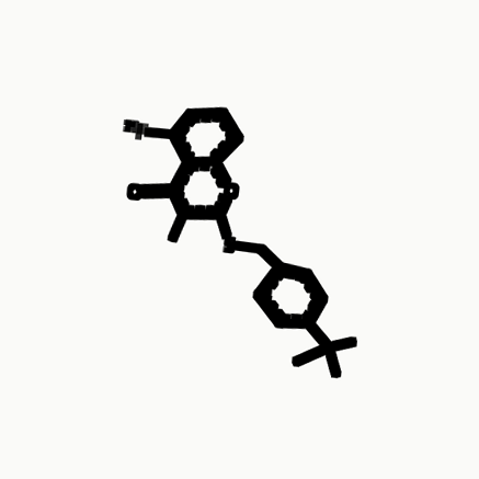 Cc1c(SCc2ccc(C(C)(C)C)cc2)oc2cccc([18F])c2c1=O